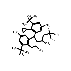 CCCc1c(C(CC(C)CC(C)(C)C)c2cc(C)cc(C(C)(C)C)c2C2CC2)cc(C)cc1C(C)(C)C